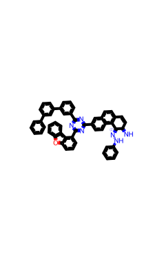 N=C1C=Cc2ccc3cc(-c4nc(-c5cccc(-c6cccc(-c7ccccc7)c6)c5)nc(-c5cccc6oc7ccccc7c56)n4)ccc3c2/C1=N/Nc1ccccc1